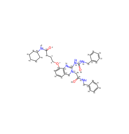 CN(C(=O)CCCOc1cccc2c1N=C(NC(=O)NCc1ccccc1)N(CC(=O)NCc1ccccc1)C2)C1CCCCC1